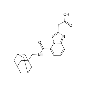 O=C(O)Cc1cn2c(C(=O)NCC34CC5CC(CC(C5)C3)C4)cccc2n1